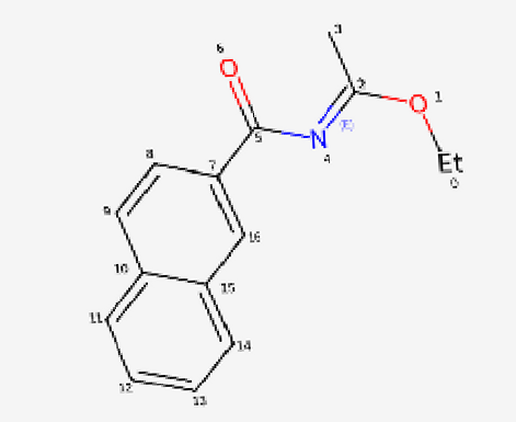 CCO/C(C)=N/C(=O)c1ccc2ccccc2c1